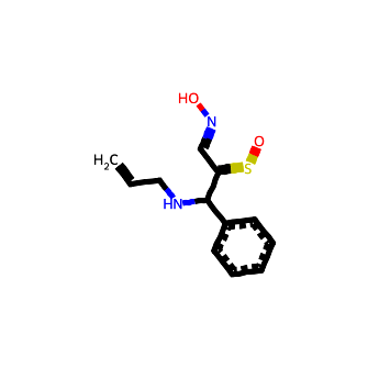 C=CCNC(C(/C=N/O)=S=O)c1ccccc1